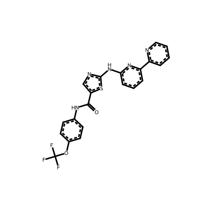 O=C(Nc1ccc(OC(F)(F)F)cc1)c1cnc(Nc2cccc(-c3ccccn3)n2)s1